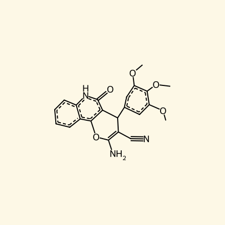 COc1cc(C2C(C#N)=C(N)Oc3c2c(=O)[nH]c2ccccc32)cc(OC)c1OC